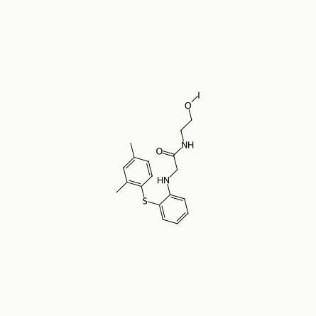 Cc1ccc(Sc2ccccc2NCC(=O)NCCOI)c(C)c1